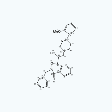 COc1ccccc1N1CCN(CC(O)COC(Cc2ccccc2)C(=O)c2ccccc2)CC1